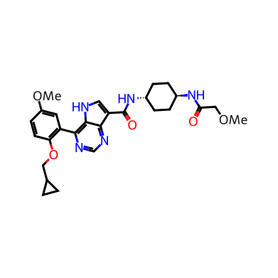 COCC(=O)N[C@H]1CC[C@H](NC(=O)c2c[nH]c3c(-c4cc(OC)ccc4OCC4CC4)ncnc23)CC1